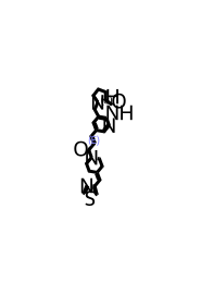 O=C1Nc2ncc(/C=C/C(=O)N3CCC(=Cc4cscn4)CC3)cc2CN2CCC[C@@H]12